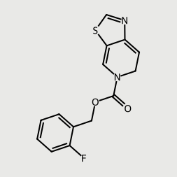 O=C(OCc1ccccc1F)N1C=c2scnc2=CC1